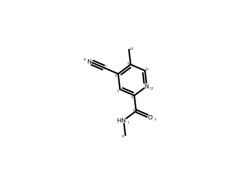 CNC(=O)c1cc(C#N)c(C)cn1